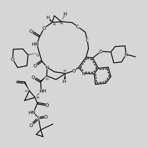 C=C[C@@H]1C[C@]1(NC(=O)[C@@H]1C[C@@H]2CN1C(=O)[C@H](C1CCOCC1)NC(=O)O[C@@H]1C[C@H]1CCCCCc1c(nc3ccccc3c1OC1CCN(C)CC1)O2)C(=O)NS(=O)(=O)C1(C)CC1